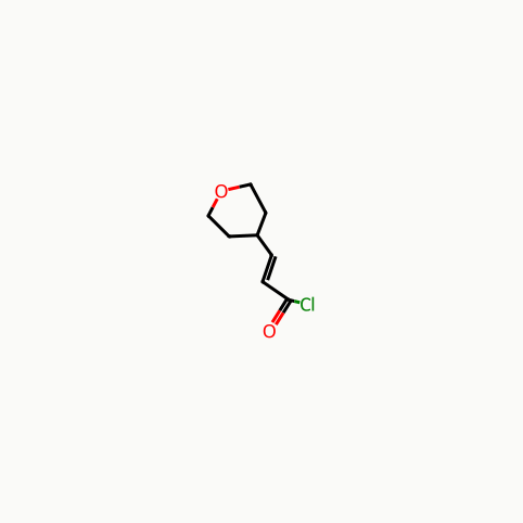 O=C(Cl)/C=C/C1CCOCC1